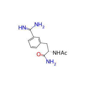 CC(=O)N[C@@H](Cc1cccc(C(=N)N)c1)C(N)=O